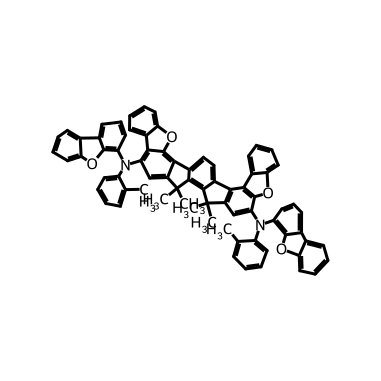 Cc1ccccc1N(c1cccc2c1oc1ccccc12)c1cc2c(c3c1oc1ccccc13)-c1ccc3c(c1C2(C)C)C(C)(C)c1cc(N(c2ccccc2C)c2cccc4c2oc2ccccc24)c2c(oc4ccccc42)c1-3